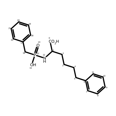 O=C(O)C(CCCCc1ccccc1)NP(=O)(O)Cc1ccccc1